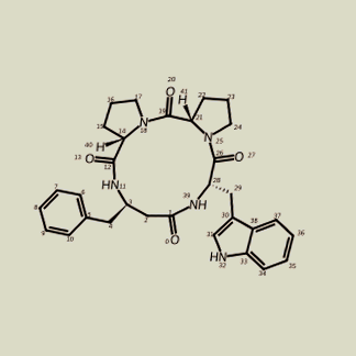 O=C1C[C@@H](Cc2ccccc2)NC(=O)[C@@H]2CCCN2C(=O)[C@@H]2CCCN2C(=O)[C@H](Cc2c[nH]c3ccccc23)N1